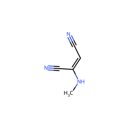 CN/C(C#N)=C/C#N